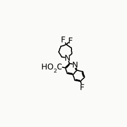 O=C(O)c1cc2cc(F)ccc2nc1N1CCCC(F)(F)CC1